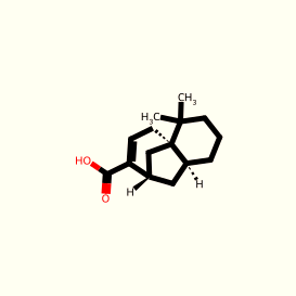 CC1(C)CCC[C@H]2C[C@H]3C[C@]21CC=C3C(=O)O